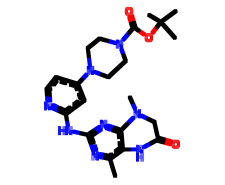 Cc1nc(Nc2cc(N3CCN(C(=O)OC(C)(C)C)CC3)ccn2)nc2c1NC(=O)CN2C